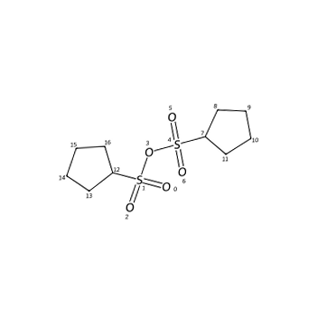 O=S(=O)(OS(=O)(=O)C1CCCC1)C1CCCC1